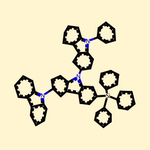 c1ccc(-n2c3ccccc3c3cc(-n4c5ccc(-n6c7ccccc7c7ccccc76)cc5c5ccc([Si](c6ccccc6)(c6ccccc6)c6ccccc6)cc54)ccc32)cc1